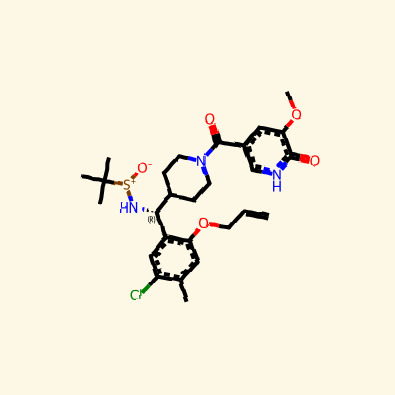 C=CCOc1cc(C)c(Cl)cc1[C@H](N[S+]([O-])C(C)(C)C)C1CCN(C(=O)c2c[nH]c(=O)c(OC)c2)CC1